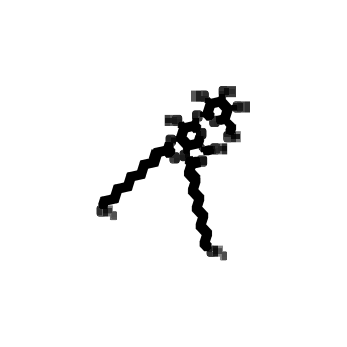 CCCCCCCCC=CC(=O)O[C@@H]1[C@@H](O)[C@@H](O[C@H]2O[C@H](CO)[C@@H](O)[C@H](O)[C@H]2O)O[C@H](CO)[C@H]1OC(=O)C=CCCCCCCCC